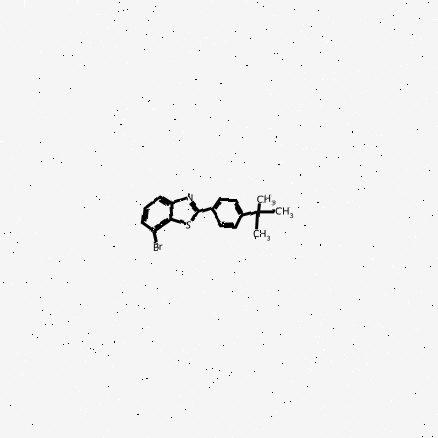 CC(C)(C)c1ccc(-c2nc3cccc(Br)c3s2)cc1